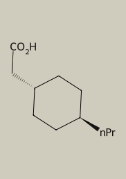 CCC[C@H]1CC[C@H](CC(=O)O)CC1